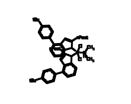 CCCCCC1=Cc2c(-c3ccc(C(C)(C)C)cc3)cccc2[CH]1[Zr]([Cl])([Cl])([CH]1C(CCCCC)=Cc2c(-c3ccc(C(C)(C)C)cc3)cccc21)[SiH](C)C